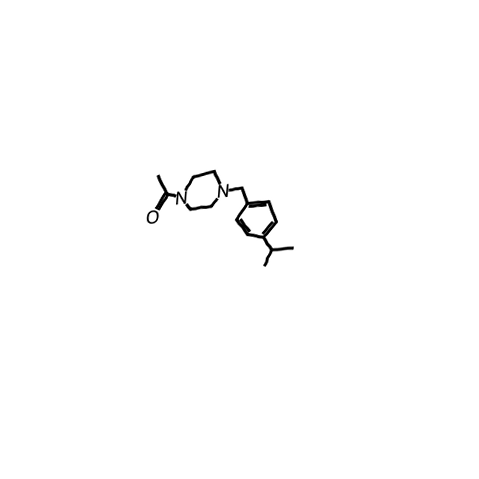 CC(=O)N1CCN(Cc2ccc(C(C)C)cc2)CC1